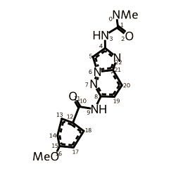 CNC(=O)Nc1cn2nc(NC(=O)c3ccc(OC)cc3)ccc2n1